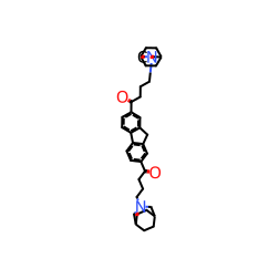 O=C(CCCN1CC2CCC(CC2)C1)c1ccc2c(c1)Cc1cc(C(=O)CCCN3CC4CCC(CC4)C3)ccc1-2